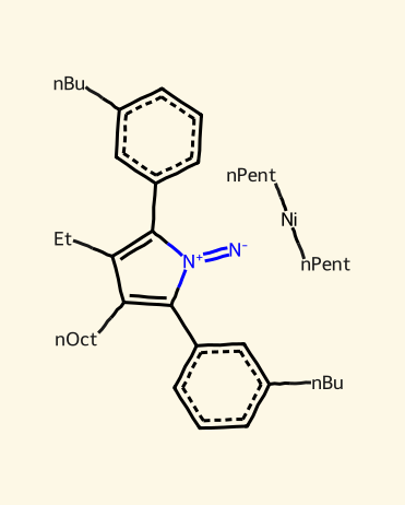 CCCCCCCCC1=C(c2cccc(CCCC)c2)[N+](=[N-])C(c2cccc(CCCC)c2)=C1CC.CCCC[CH2][Ni][CH2]CCCC